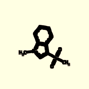 Cn1cc(S(C)(=O)=O)c2ccccc21